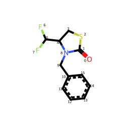 O=C1SCC(C(F)F)N1Cc1ccccc1